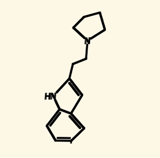 [c]1ccc2[nH]c(CCN3CCCC3)cc2c1